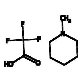 CN1CCCCC1.O=C(O)C(F)(F)F